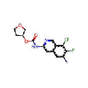 O=C(Nc1cc2cc(I)c(F)c(Cl)c2cn1)OC1CCOC1